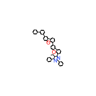 CCC1C(c2cccc3c2oc2ccc(-c4cccc5c4oc4ccc(-c6cccc(-c7ccccc7)c6)cc45)cc23)=NC(c2ccccc2)=NC1c1ccccc1